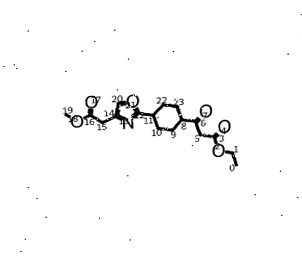 CCOC(=O)CC(=O)C1CCC(c2nc(CC(=O)OC)co2)CC1